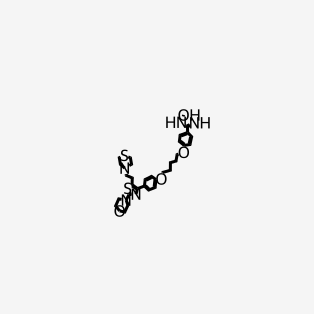 N=C(NO)c1ccc(OCCCCCOc2ccc(-c3nc(N4CCOCC4)sc3CCN3CCSCC3)cc2)cc1